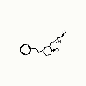 CCN(CCC1=CC=CC=CC1)CC(CNCC=O)N=O